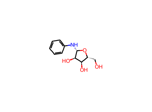 OC[C@H]1O[C@@H](Nc2ccccc2)[C@H](O)[C@@H]1O